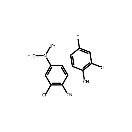 CC(C)N(C)c1ccc(C#N)c(Cl)c1.N#Cc1ccc(F)cc1Cl